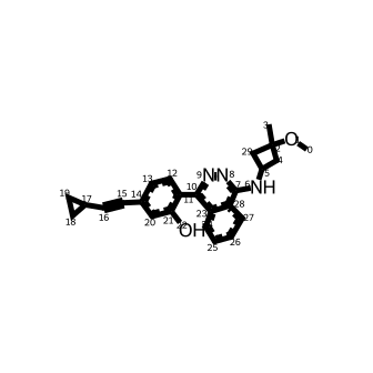 COC1(C)CC(Nc2nnc(-c3ccc(C#CC4CC4)cc3O)c3ccccc23)C1